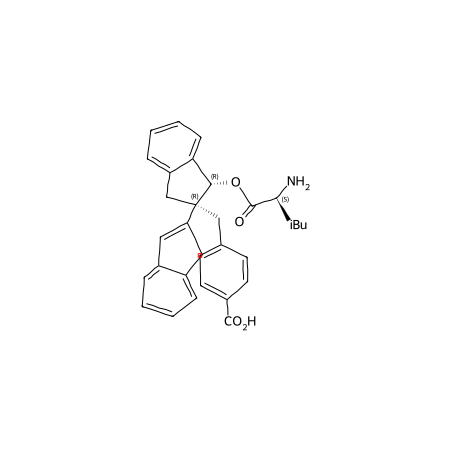 CCC(C)[C@H](N)C(=O)O[C@H]1c2ccccc2C[C@]1(Cc1ccc(C(=O)O)cc1)C1=Cc2ccccc2C1